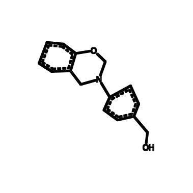 OCc1ccc(N2COc3ccccc3C2)cc1